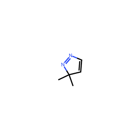 CC1(C)C=CN=N1